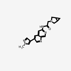 Cn1cc(-c2cnc3cnc(NC(=O)CN4CC5CC5C4)cc3c2)cn1